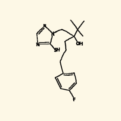 CC(C)(C)C(O)(CCCc1ccc(F)cc1)Cn1ncnc1S